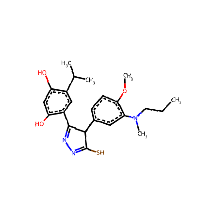 CCCN(C)c1cc(C2C(S)=NN=C2c2cc(C(C)C)c(O)cc2O)ccc1OC